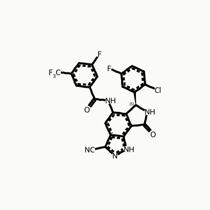 N#Cc1n[nH]c2c3c(c(NC(=O)c4cc(F)cc(C(F)(F)F)c4)cc12)[C@@H](c1cc(F)ccc1Cl)NC3=O